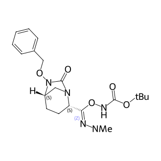 CN/N=C(\ONC(=O)OC(C)(C)C)[C@@H]1CC[C@H]2CN1C(=O)N2OCc1ccccc1